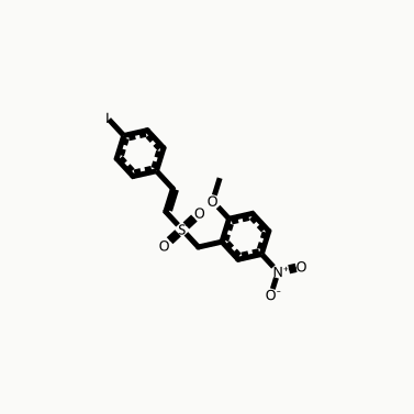 COc1ccc([N+](=O)[O-])cc1CS(=O)(=O)C=Cc1ccc(I)cc1